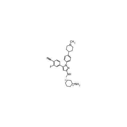 CN1CCC(c2ccc(-n3nc(NC[C@H]4CCC[C@H](N)C4)cc3-c3ccc(C#N)c(F)c3)cc2)CC1